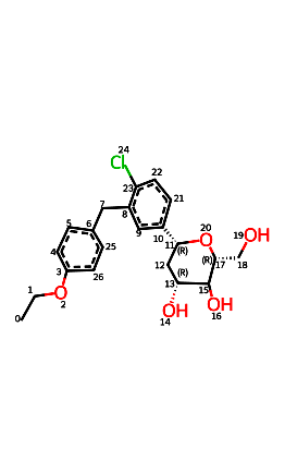 CCOc1ccc(Cc2cc([C@H]3C[C@@H](O)C(O)[C@@H](CO)O3)ccc2Cl)cc1